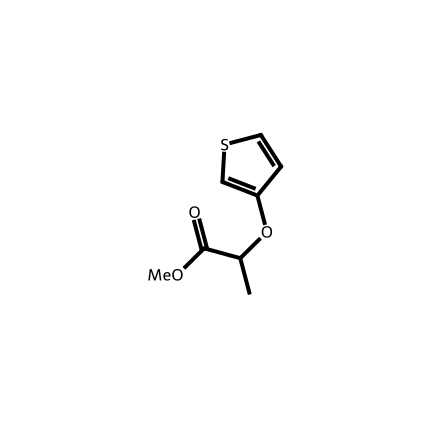 COC(=O)C(C)Oc1ccsc1